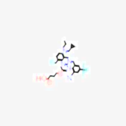 CCCN(CC1CC1)c1ccc(CF)cc1CN(Cc1cc(C#N)cc(C(F)(F)F)c1)c1ncc(OCCCC(=O)O)cn1